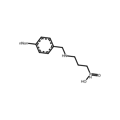 CCCCCCCCCc1ccc(CNCCC[PH](=O)O)cc1